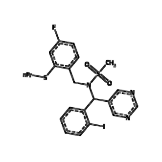 CCCSc1cc(F)ccc1CN(C(c1cncnc1)c1ccccc1I)S(C)(=O)=O